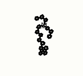 c1ccc(-c2cccc(-c3ccc(-c4nc(-c5cccc(-c6cccc(-c7ccccc7)c6)c5)nc(-c5cccc(-c6cccc(-c7cccc(-c8cccc(-c9cccc(-c%10ccc%11c(c%10)C%10(c%12ccccc%12-c%12ccccc%12%10)c%10ccccc%10-%11)c9)c8)c7)c6)c5)n4)cc3)c2)cc1